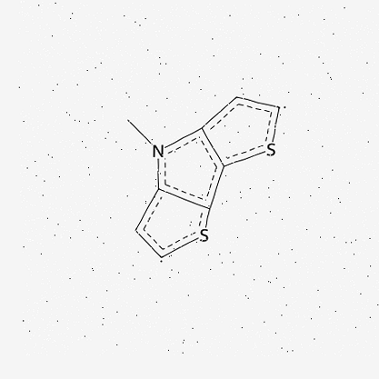 Cn1c2c[c]sc2c2s[c]cc21